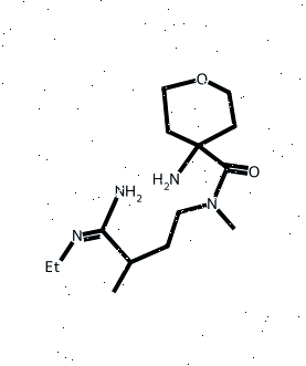 CC/N=C(/N)C(C)CCN(C)C(=O)C1(N)CCOCC1